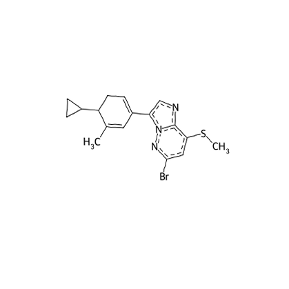 CSc1cc(Br)nn2c(C3=CCC(C4CC4)C(C)=C3)cnc12